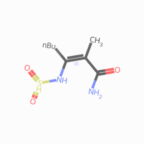 CCCC/C(N[SH](=O)=O)=C(\C)C(N)=O